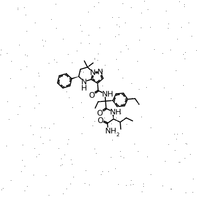 CCc1ccc(C(CC)(NC(=O)c2cnn3c2N[C@@H](c2ccccc2)CC3(C)C)C(=O)N[C@H](C(N)=O)C(C)CC)cc1